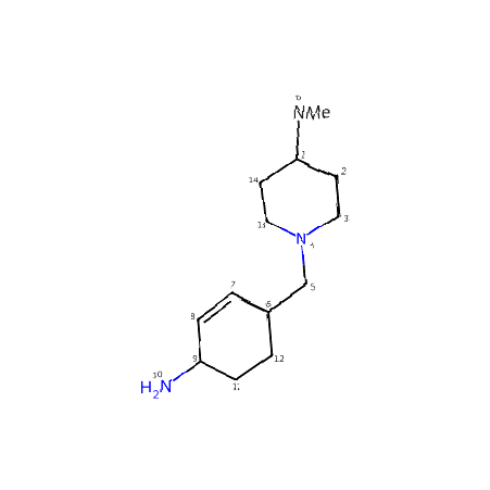 CNC1CCN(CC2C=CC(N)CC2)CC1